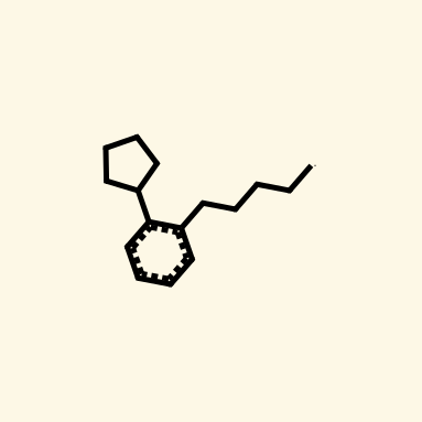 [CH2]CCCCc1ccccc1C1CCCC1